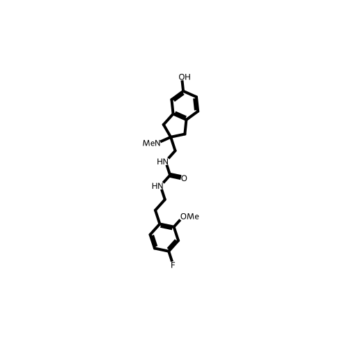 CNC1(CNC(=O)NCCc2ccc(F)cc2OC)Cc2ccc(O)cc2C1